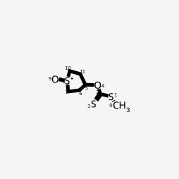 CSC(=S)OC1CC[S+]([O-])CC1